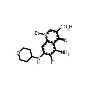 CCn1cc(C(=O)O)c(=O)c2c(N)c(F)c(NC3CCOCC3)cc21